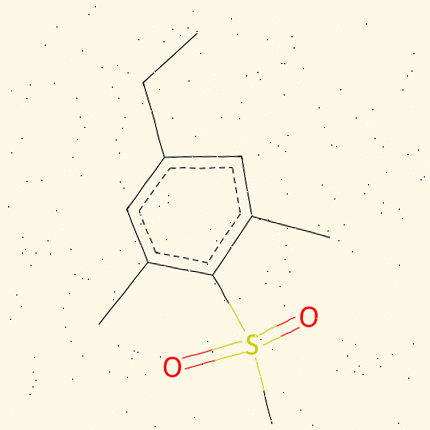 CCc1cc(C)c(S(C)(=O)=O)c(C)c1